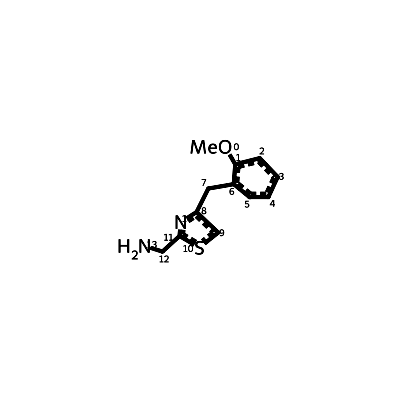 COc1ccccc1Cc1csc(CN)n1